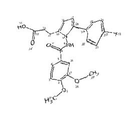 COc1ccc(C(=O)Nn2c(CCC(=O)O)ccc2-c2ccc(F)cc2)cc1OC